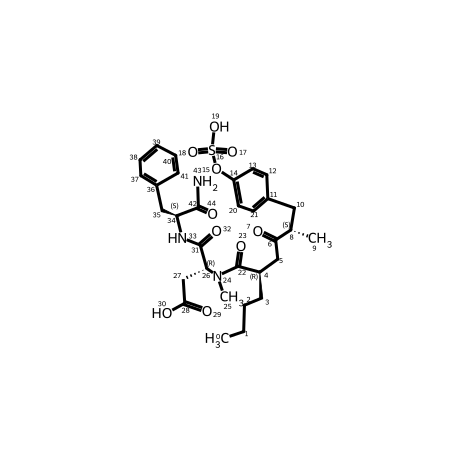 CCCC[C@H](CC(=O)[C@@H](C)Cc1ccc(OS(=O)(=O)O)cc1)C(=O)N(C)[C@H](CC(=O)O)C(=O)N[C@@H](Cc1ccccc1)C(N)=O